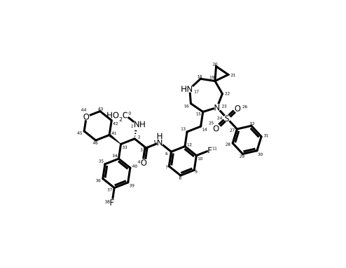 O=C(O)N[C@H](C(=O)Nc1cccc(F)c1CCC1CNCC2(CC2)CN1S(=O)(=O)c1ccccc1)[C@@H](c1ccc(F)cc1)C1CCOCC1